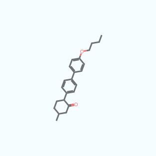 CCCCOc1ccc(-c2ccc(C3CCC(C)CC3=O)cc2)cc1